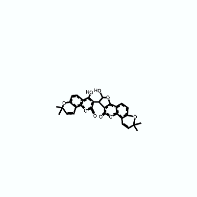 CC1(C)C=Cc2c(ccc3c(O)c(C4c5c(c6ccc7c(c6oc5=O)C=CC(C)(C)O7)OC4O)c(=O)oc23)O1